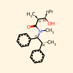 CCC[C@@H](O)[C@H](C)C(=O)N(C)[C@H](c1ccccc1)[C@H](C)c1ccccc1